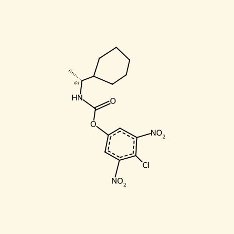 C[C@@H](NC(=O)Oc1cc([N+](=O)[O-])c(Cl)c([N+](=O)[O-])c1)C1CCCCC1